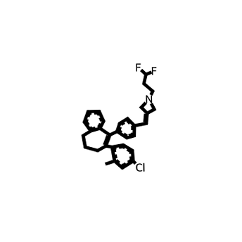 Cc1cc(Cl)ccc1C1=C(c2ccc(C=C3CN(CCC(F)F)C3)cc2)c2ccccc2CCC1